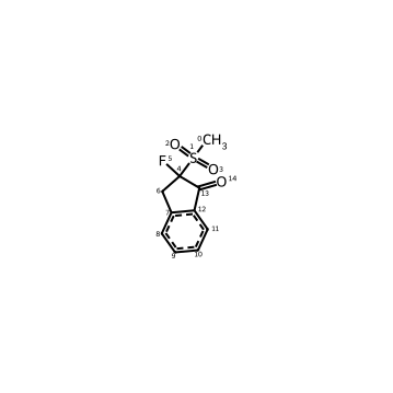 CS(=O)(=O)C1(F)Cc2ccccc2C1=O